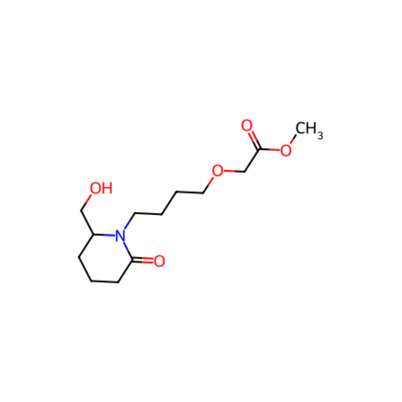 COC(=O)COCCCCN1C(=O)CCCC1CO